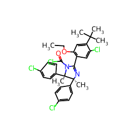 CCOc1cc(C(C)(C)C)c(Cl)cc1C1=N[C@@](C)(c2ccc(Cl)cc2)[C@@](C)(c2ccc(Cl)cc2)N1C(=O)Cl